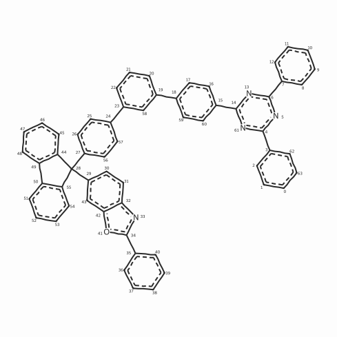 c1ccc(-c2nc(-c3ccccc3)nc(-c3ccc(-c4cccc(-c5ccc(C6(c7ccc8nc(-c9ccccc9)oc8c7)c7ccccc7-c7ccccc76)cc5)c4)cc3)n2)cc1